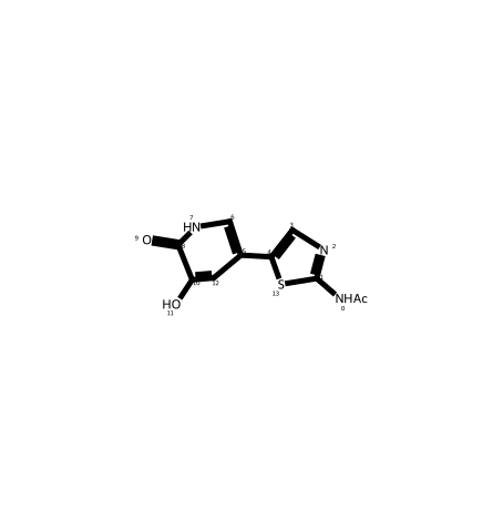 CC(=O)Nc1ncc(-c2c[nH]c(=O)c(O)c2)s1